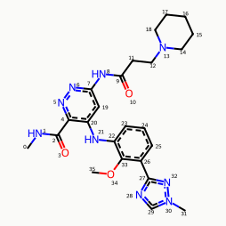 CNC(=O)c1nnc(NC(=O)CCN2CCCCC2)cc1Nc1cccc(-c2ncn(C)n2)c1OC